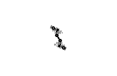 CC1([C@H](NC(=O)C2CCC(F)(F)CC2)c2nc3ccc(C#Cc4ccc5nc([C@@H](NC(=O)C6CCC(F)(F)CC6)C6(C)CC6)[nH]c5c4)cc3[nH]2)CC1